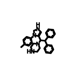 Cc1ccc(N2CNC=C2C(C(c2ccccc2)c2ccccc2)N2CCNCC2)cc1